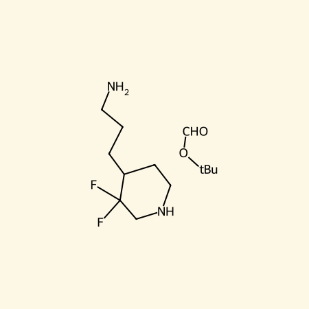 CC(C)(C)OC=O.NCCCC1CCNCC1(F)F